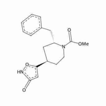 COC(=O)N1CC[C@@H](c2cc(=O)[nH]o2)C[C@@H]1Cc1ccccc1